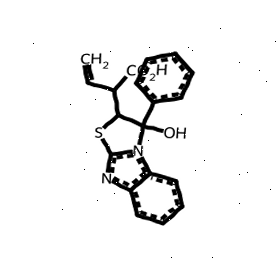 C=CC(C(=O)O)C1Sc2nc3ccccc3n2C1(O)c1ccccc1